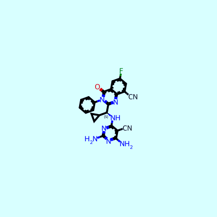 N#Cc1c(N)nc(N)nc1N[C@H](c1nc2c(C#N)cc(F)cc2c(=O)n1-c1ccccc1)C1CC1